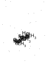 Cc1ncc(C(=O)Nc2cc(F)cc(CN3CCN(C(=O)[C@@H]4CCOC4)[C@@H](C)C3)c2C)cc1Cl